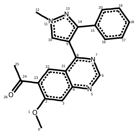 COc1cc2ncnc(-c3cn(C)nc3-c3ccccc3)c2cc1C(C)=O